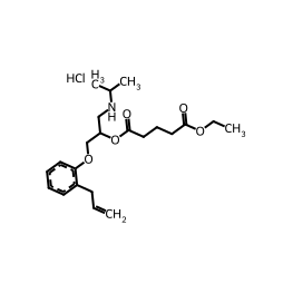 C=CCc1ccccc1OCC(CNC(C)C)OC(=O)CCCC(=O)OCC.Cl